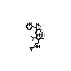 Cc1[nH]c(C=C2C(=O)NN=C2c2cccnn2)c(C(C)C)c1CCNC1CC1